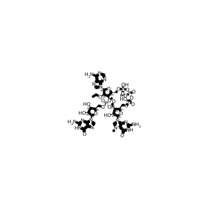 CCO[C@@H]1[C@H](OP(=O)(O)OC[C@H]2O[C@@H](n3cnc4c(=O)[nH]c(N)nc43)[C@H](O)[C@@H]2O)[C@@H](COP(=O)(O)OP(=O)(O)OP(=O)(O)OC[C@H]2O[C@@H](n3c[n+](C)c4c(=O)[nH]c(N)nc43)[C@H](O)[C@@H]2COC)O[C@H]1n1cnc2c(N)ncnc21